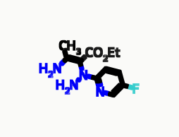 CCOC(=O)/C(=C(\C)N)N(N)c1ccc(F)cn1